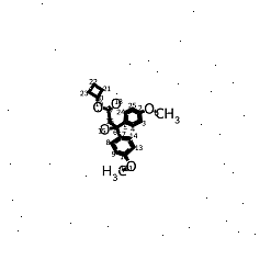 COc1ccc(C2(c3ccc(OC)cc3)OC2C(=O)OC2CCC2)cc1